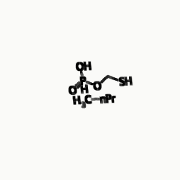 CCCC.O=[PH](O)OCS